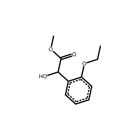 CCOc1ccccc1C(O)C(=O)OC